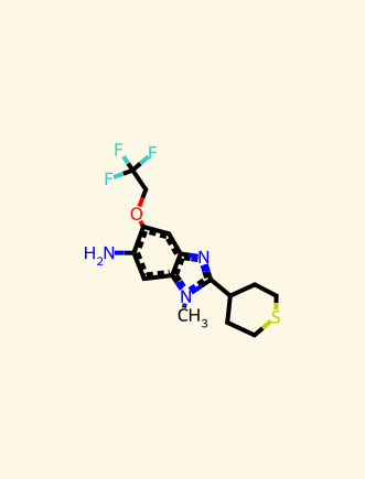 Cn1c(C2CCSCC2)nc2cc(OCC(F)(F)F)c(N)cc21